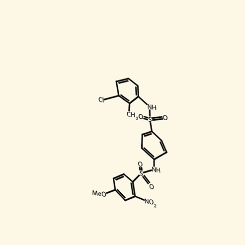 COc1ccc(S(=O)(=O)Nc2ccc(S(=O)(=O)Nc3cccc(Cl)c3C)cc2)c([N+](=O)[O-])c1